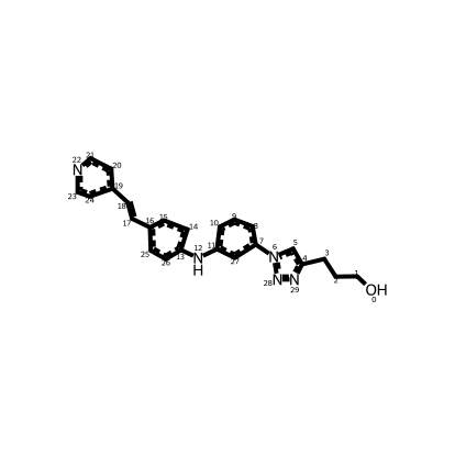 OCCCc1cn(-c2cccc(Nc3ccc(C=Cc4ccncc4)cc3)c2)nn1